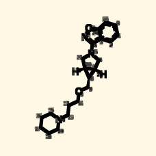 c1ccc2c(N3C[C@@H]4[C@@H](COCCCN5CCCCC5)[C@@H]4C3)noc2c1